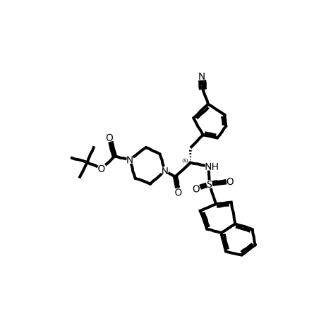 CC(C)(C)OC(=O)N1CCN(C(=O)[C@H](Cc2cccc(C#N)c2)NS(=O)(=O)c2ccc3ccccc3c2)CC1